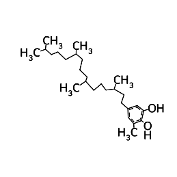 Cc1cc(CCC(C)CCCC(C)CCCC(C)CCCC(C)C)cc(O)c1O